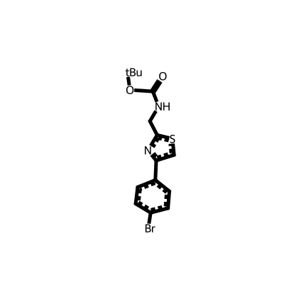 CC(C)(C)OC(=O)NCc1nc(-c2ccc(Br)cc2)cs1